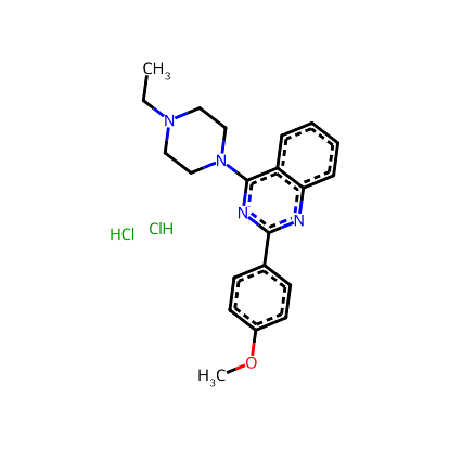 CCN1CCN(c2nc(-c3ccc(OC)cc3)nc3ccccc23)CC1.Cl.Cl